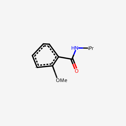 COc1[c]cccc1C(=O)NC(C)C